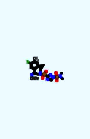 CO/N=C(\CN(C1CC1)S(=O)(=O)c1ncn(S(=O)(=O)N(C)C)n1)c1ccc(C(F)(F)F)c(F)c1